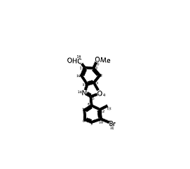 COc1cc2oc(-c3cccc(Br)c3C)nc2cc1C=O